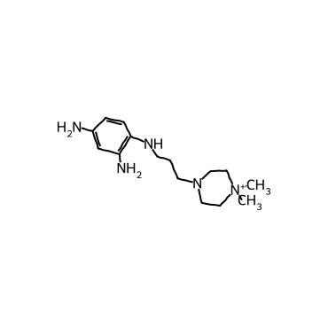 C[N+]1(C)CCN(CCCNc2ccc(N)cc2N)CC1